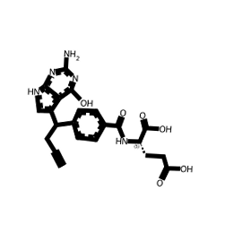 C#CCC(c1ccc(C(=O)N[C@@H](CCC(=O)O)C(=O)O)cc1)c1c[nH]c2nc(N)nc(O)c12